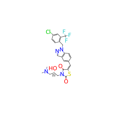 CN(C)C[C@H](O)CN1C(=O)SC(=Cc2ccc3c(cnn3Cc3ccc(Cl)cc3C(F)(F)F)c2)C1=O